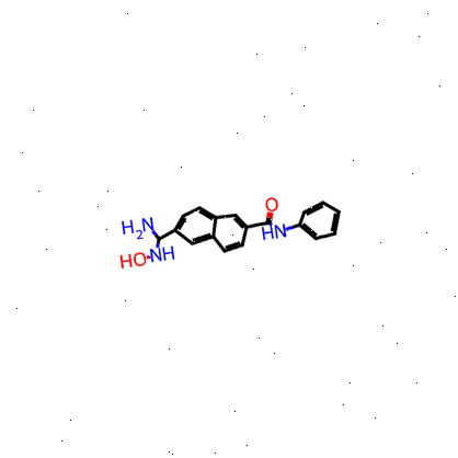 NC(NO)c1ccc2cc(C(=O)Nc3ccccc3)ccc2c1